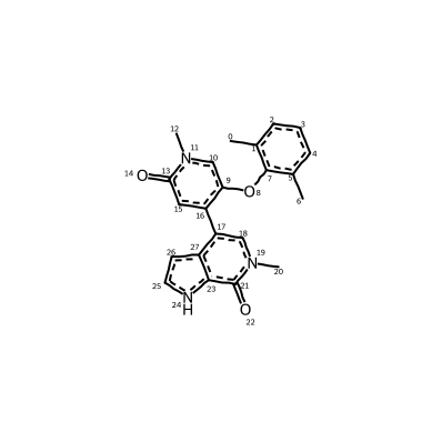 Cc1cccc(C)c1Oc1cn(C)c(=O)cc1-c1cn(C)c(=O)c2[nH]ccc12